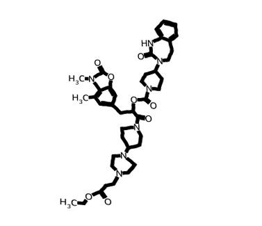 CCOC(=O)CCN1CCN(C2CCN(C(=O)C(Cc3cc(C)c4c(c3)oc(=O)n4C)OC(=O)N3CCC(N4CCc5ccccc5NC4=O)CC3)CC2)CC1